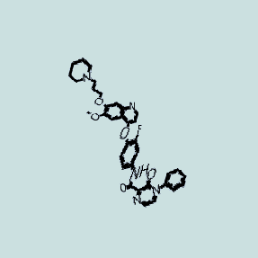 COc1cc2c(Oc3ccc(NC(=O)c4nccn(-c5ccccc5)c4=O)cc3F)ccnc2cc1OCCCN1CCCCC1